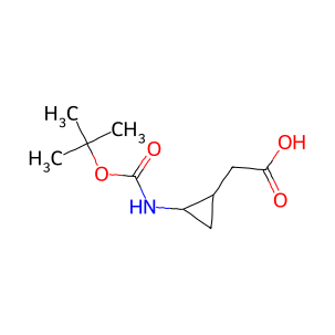 CC(C)(C)OC(=O)NC1CC1CC(=O)O